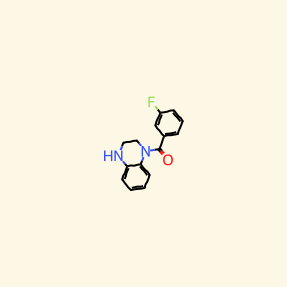 O=C(c1cccc(F)c1)N1CCNc2ccccc21